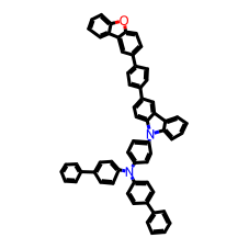 c1ccc(-c2ccc(N(c3ccc(-c4ccccc4)cc3)c3ccc(-n4c5ccccc5c5cc(-c6ccc(-c7ccc8oc9ccccc9c8c7)cc6)ccc54)cc3)cc2)cc1